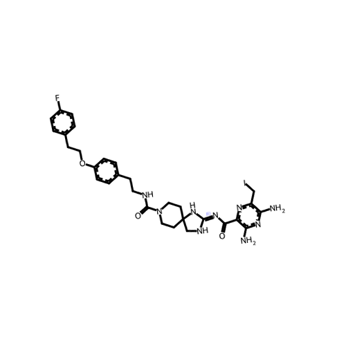 Nc1nc(N)c(C(=O)/N=C2\NCC3(CCN(C(=O)NCCc4ccc(OCCc5ccc(F)cc5)cc4)CC3)N2)nc1CI